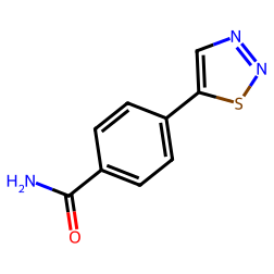 NC(=O)c1ccc(-c2cnns2)cc1